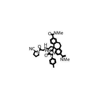 C=C(NC)c1ccc2c(c1)CCc1cc(C(=O)NC)ccc1C2(CCNCC(=O)N1CCCC1C#N)c1nn(-c2ccc(C)cc2)c(=O)[nH]1